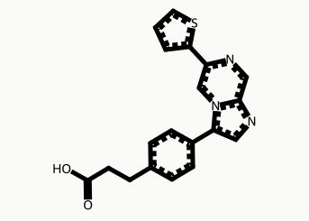 O=C(O)CCc1ccc(-c2cnc3cnc(-c4cccs4)cn23)cc1